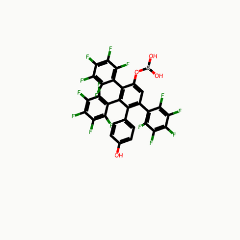 OB(O)Oc1cc(-c2c(F)c(F)c(F)c(F)c2F)c(-c2ccc(O)cc2)c(-c2c(F)c(F)c(F)c(F)c2F)c1-c1c(F)c(F)c(F)c(F)c1F